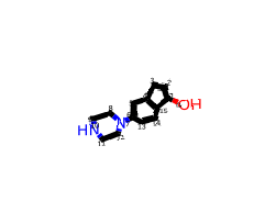 OC1CCc2cc(N3CCNCC3)ccc21